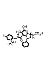 CC(CCc1ccccc1)(NC(=O)O)c1nc(O)c(O)c(C(=O)NCc2ccc(F)cc2S(C)(=O)=O)n1